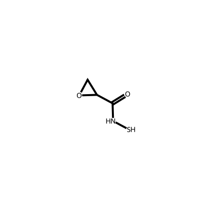 O=C(NS)C1CO1